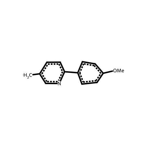 [CH2]c1ccc(-c2ccc(OC)cc2)nc1